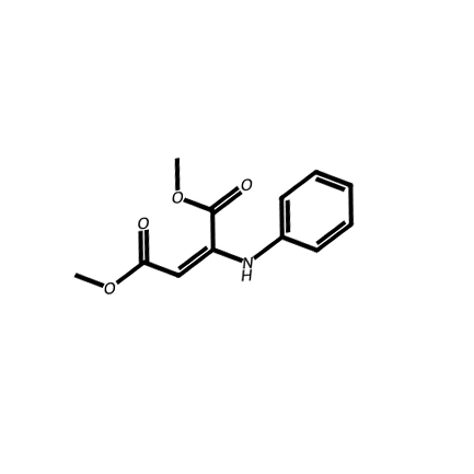 COC(=O)C=C(Nc1ccccc1)C(=O)OC